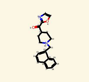 O=C(c1ncco1)C1CCN(Cc2cccc3ccccc23)CC1